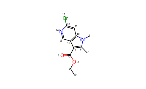 CCOC(=O)c1c(C)n(C)c2cc(Br)ncc12